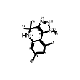 Cc1cc(F)cc2c1-c1c(nnn1C)C(C)(C)N2